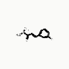 CN(C)C(=O)/C=C/c1cccc(Cl)c1